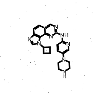 c1cc(Nc2ncc3ccc4ncn(C5CCC5)c4c3n2)ncc1N1CCNCC1